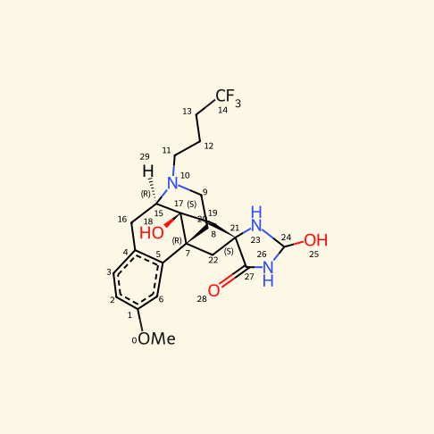 COc1ccc2c(c1)[C@]13CCN(CCCC(F)(F)F)[C@H](C2)[C@]1(O)CC[C@@]1(C3)NC(O)NC1=O